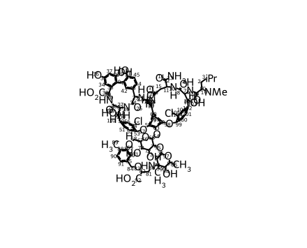 CN[C@H](CC(C)C)C(=O)NC1C(=O)NC(C(N)=O)CC(=O)N[C@H]2C(=O)NC3C(=O)N[C@H](C(=O)N[C@@H](C(=O)O)c4cc(O)cc(O)c4-c4cc3ccc4O)[C@H](O)c3ccc(c(Cl)c3)Oc3cc2cc(c3OC2OC(CO)C(O)C(O)C2OC2CC(C)(NCC(OCc3ccc(C)cc3)C(=O)O)C(O)C(C)O2)Oc2ccc(cc2Cl)[C@H]1O